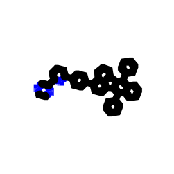 c1ccc(-c2c3c(c(-c4ccccc4)c4ccccc24)-c2ccc(-c4ccc(-c5cccc(-c6cnccn6)n5)cc4)c4cccc-3c24)cc1